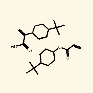 C=C(C(=O)O)C1CCC(C(C)(C)C)CC1.C=CC(=O)OC1CCC(C(C)(C)C)CC1